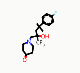 CC(C)(CC(O)(CN1CCC(=O)CC1)C(F)(F)F)c1ccc(F)cc1